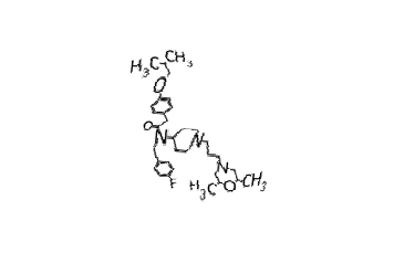 CC(C)COc1ccc(CC(=O)N(Cc2ccc(F)cc2)C2CCN(CCCN3CC(C)OC(C)C3)CC2)cc1